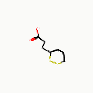 O=C(O)CCC1CCCSS1